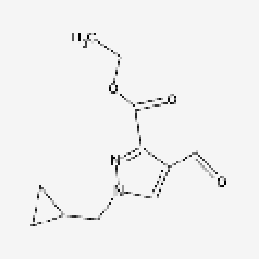 CCOC(=O)c1nn(CC2CC2)cc1C=O